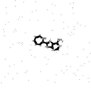 Nc1ncnc2c1N=C(C1=CC=CC=CN1)[N]2